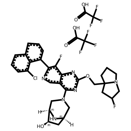 O=C(O)C(F)(F)F.O=C(O)C(F)(F)F.O[C@@H]1C[C@@H]2CN(c3nc(OCC45CCCN4CC(F)C5)nc4c(F)c(-c5cccc6cccc(Cl)c56)ncc34)C[C@H]1N2